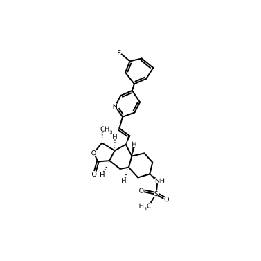 C[C@H]1OC(=O)[C@@H]2C[C@@H]3C[C@H](NS(C)(=O)=O)CC[C@H]3[C@H](/C=C/c3ccc(-c4cccc(F)c4)cn3)[C@H]12